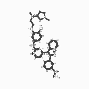 CN1CCC(N(C)CCOc2cc(Nc3nccc(-c4c(-c5cccc(NN)c5)nn5ccccc45)n3)ccc2Cl)C1